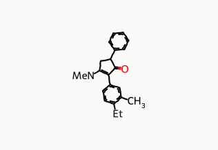 CCc1ccc(C2=C(NC)CC(c3ccccc3)C2=O)cc1C